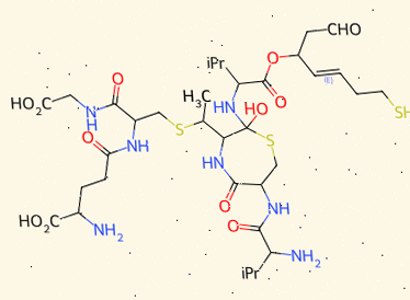 CC(C)C(N)C(=O)NC1CSC(O)(NC(C(=O)OC(/C=C/CCS)CC=O)C(C)C)C(C(C)SCC(NC(=O)CCC(N)C(=O)O)C(=O)NCC(=O)O)NC1=O